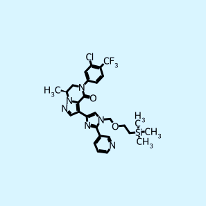 C[C@H]1CN(c2ccc(C(F)(F)F)c(Cl)c2)C(=O)c2c(-c3cn(COCC[Si](C)(C)C)c(-c4cccnc4)n3)cnn21